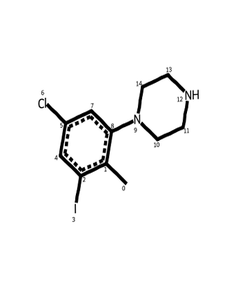 Cc1c(I)cc(Cl)cc1N1CCNCC1